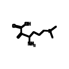 C=C(C(=O)O)C(N)CCCN(C)C